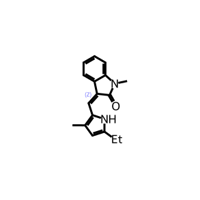 CCc1cc(C)c(/C=C2\C(=O)N(C)c3ccccc32)[nH]1